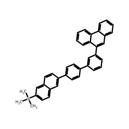 C[Si](C)(C)c1ccc2cc(-c3ccc(-c4cccc(-c5cc6ccccc6c6ccccc56)c4)cc3)ccc2c1